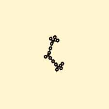 c1ccc(N(c2ccc(-c3ccc(-c4ccc(N(c5ccccc5)c5cc6ccccc6c6ccccc56)cc4)cc3)cc2)c2ccc(-c3ccc(-c4ccc(N(c5ccccc5)c5cc6ccccc6c6ccccc56)cc4)cc3)cc2)cc1